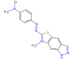 CCN(C)c1ccc(/N=N/c2sc3cc4cn[nH]c4cc3[n+]2C)cc1